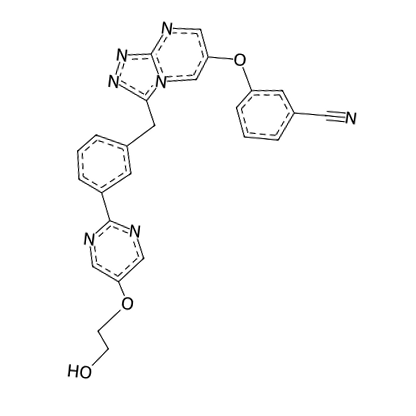 N#Cc1cccc(Oc2cnc3nnc(Cc4cccc(-c5ncc(OCCO)cn5)c4)n3c2)c1